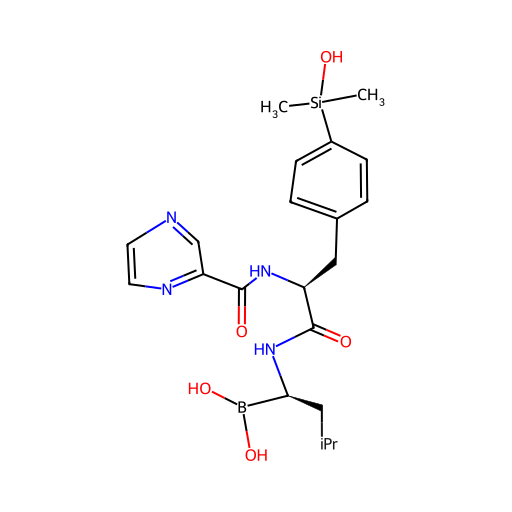 CC(C)C[C@H](NC(=O)[C@H](Cc1ccc([Si](C)(C)O)cc1)NC(=O)c1cnccn1)B(O)O